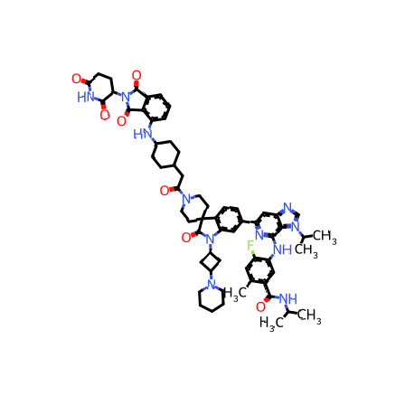 Cc1cc(F)c(Nc2nc(-c3ccc4c(c3)N(C3CC(N5CCCCC5)C3)C(=O)C43CCN(C(=O)CC4CCC(Nc5cccc6c5C(=O)N(C5CCC(=O)NC5=O)C6=O)CC4)CC3)cc3ncn(C(C)C)c23)cc1C(=O)NC(C)C